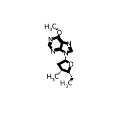 CC[C@H]1O[C@@H](n2cnc3c(OC)ncnc32)C[C@H]1C